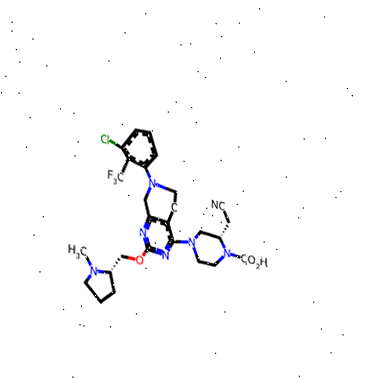 CN1CCC[C@H]1COc1nc2c(c(N3CCN(C(=O)O)[C@@H](CC#N)C3)n1)CCN(c1cccc(Cl)c1C(F)(F)F)C2